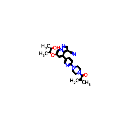 C=C(C)C(=O)N1CCN(c2ccc(-c3cc(O[C@@H](C)[C@H](C)O)cn4ncc(C#N)c34)cn2)CC1